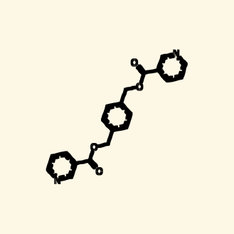 O=C(OCc1ccc(COC(=O)c2cccnc2)cc1)c1cccnc1